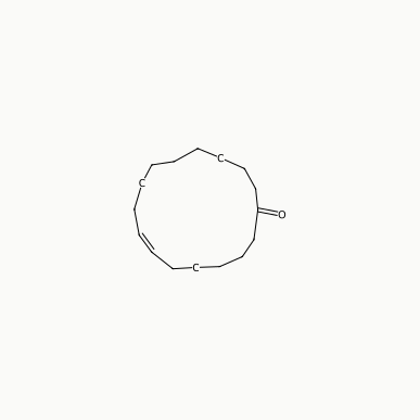 O=C1CCCCCC=CCCCCCCCC1